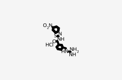 Cl.N=C(N)NCc1cccc(C(=O)Nc2nc3ccc([N+](=O)[O-])cc3s2)c1